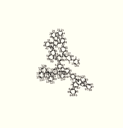 c1ccc(-c2ccc(N(c3ccc(-c4ccc5c(c4)C4(c6ccccc6-5)c5ccccc5-c5c4ccc4c5c5ccccc5n4-c4ccc5ccccc5c4)cc3)c3cccc(-c4ccc5c(c4)-c4ccc(-c6ccc(N(c7ccc(-c8ccccc8)cc7)c7cccc8c7oc7ccccc78)cc6)cc4C54c5ccccc5-c5c4ccc4c5c5ccccc5n4-c4cccc5ccccc45)c3)cc2)cc1